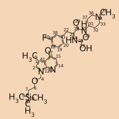 Cc1cn(COCC[Si](C)(C)C)c2nccc(Oc3ccc(CC(NC(=O)O)C(=O)NC4CCN(C)CC4)cc3F)c12